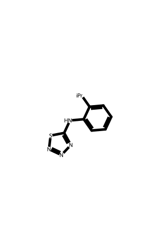 CC(C)c1ccccc1Nc1nnns1